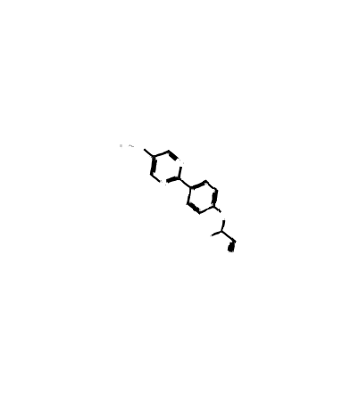 C=CC(O)Oc1ccc(-c2ncc(CCCCC)cn2)cc1